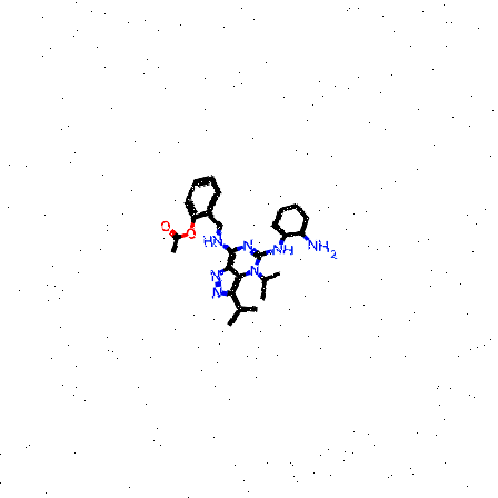 CC(=O)Oc1ccccc1CNc1nc(NC2CCCCC2N)n(C(C)C)c2c(C(C)C)nnc1-2